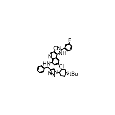 C[C@@H](Nc1c(C#N)cnc2c(N[C@@H](c3ccccc3)c3cn(C4CCN(C(C)(C)C)CC4)nn3)cc(Cl)cc12)c1cccc(F)c1